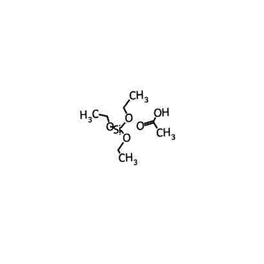 CC(=O)O.CCO[Si](OCC)OCC